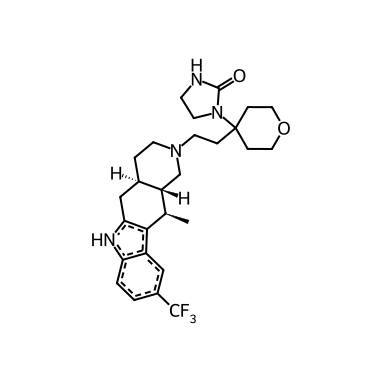 C[C@H]1c2c([nH]c3ccc(C(F)(F)F)cc23)C[C@H]2CCN(CCC3(N4CCNC4=O)CCOCC3)C[C@@H]21